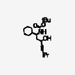 CC(C)C#C[C@H](O)C[C@H](NC(=O)OC(C)(C)C)C1CCCCC1